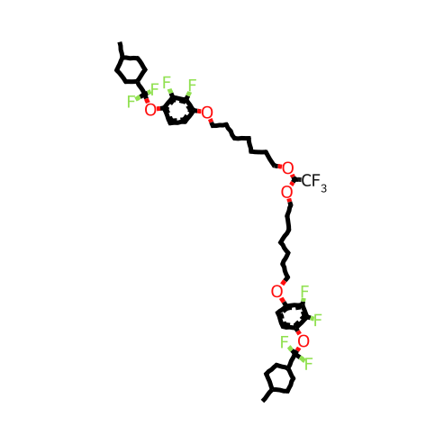 CC1CCC(C(F)(F)Oc2ccc(OCCCCCCCOC(OCCCCCCCOc3ccc(OC(F)(F)C4CCC(C)CC4)c(F)c3F)C(F)(F)F)c(F)c2F)CC1